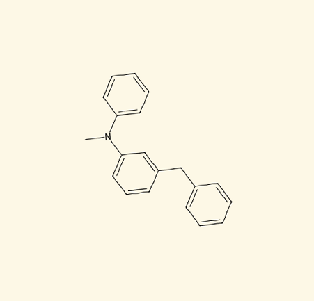 CN(c1ccccc1)c1cccc(Cc2ccccc2)c1